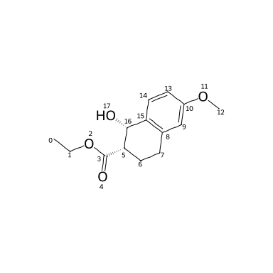 CCOC(=O)[C@H]1CCc2cc(OC)ccc2[C@H]1O